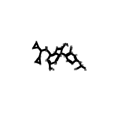 Cc1nc(NC(C2CC2)C2CC2)c2nc(C)n(-c3ccc(OC(F)F)cc3Cl)c2n1